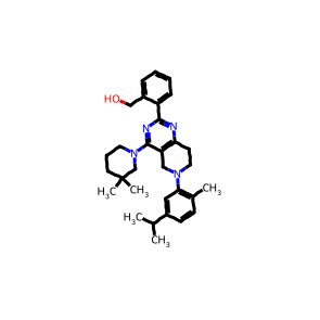 Cc1ccc(C(C)C)cc1N1CCc2nc(-c3ccccc3CO)nc(N3CCCC(C)(C)C3)c2C1